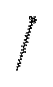 CCCCCCCCCCCCCCCCCCCCCCCCCCCCN1CCCC1=O